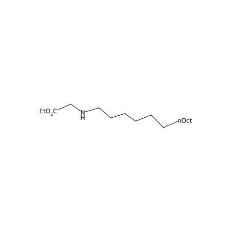 CCCCCCCCCCCCCCNCC(=O)OCC